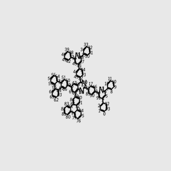 c1ccc(-c2cc(-c3ccccc3)nc(-c3ccc(-c4nc(-c5ccc(-c6cc(-c7ccccc7)nc(-c7ccccc7)c6)cc5)c5cc(-c6ccc7c8ccccc8c8ccccc8c7c6)cc(-c6ccc7c8ccccc8c8ccccc8c7c6)c5n4)cc3)c2)cc1